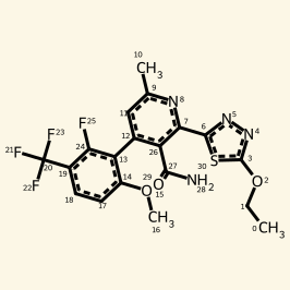 CCOc1nnc(-c2nc(C)cc(-c3c(OC)ccc(C(F)(F)F)c3F)c2C(N)=O)s1